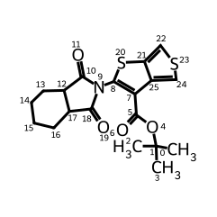 CC(C)(C)OC(=O)c1c(N2C(=O)C3CCCCC3C2=O)sc2cscc12